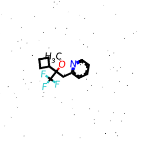 COC(Cc1ccccn1)(C1CCC1)C(F)(F)F